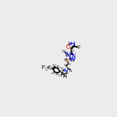 Cc1ncoc1-c1nnc(SCCC(C)N2C[C@@H]3C[C@]3(c3ccc(C(F)(F)F)cc3)C2)n1C